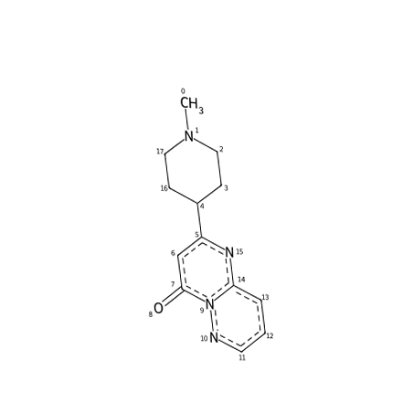 CN1CCC(c2cc(=O)n3ncccc3n2)CC1